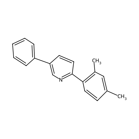 Cc1ccc(-c2ccc(-c3ccccc3)cn2)c(C)c1